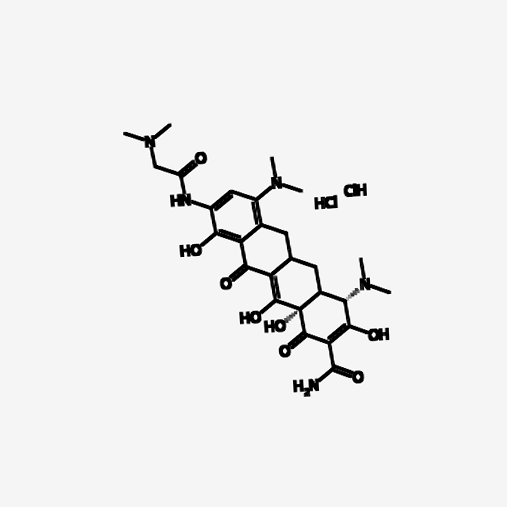 CN(C)CC(=O)Nc1cc(N(C)C)c2c(c1O)C(=O)C1=C(O)[C@]3(O)C(=O)C(C(N)=O)=C(O)[C@@H](N(C)C)C3CC1C2.Cl.Cl